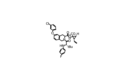 C=C[C@@H]1C[C@]1(NC(=O)C1Cc2cc(Oc3cccc(Cl)c3)ccc2CN1C(=O)[C@@H](Nc1ccc(F)cc1)C(C)(C)C)C(=O)O